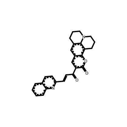 O=C(/C=C/c1ccc2ccccc2n1)c1cc2cc3c4c(c2oc1=O)CCCN4CCC3